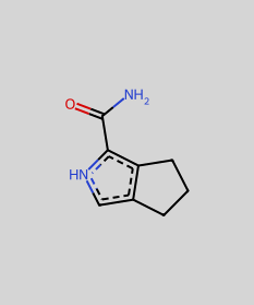 NC(=O)c1[nH]cc2c1CCC2